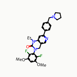 CCN1C(=O)N(c2c(F)c(OC)cc(OC)c2F)Cc2cnc(-c3ccc(CN4CCCC4)cc3)cc21